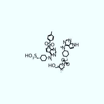 C[C@H]1CN(S(=O)(=O)C[C@H]2CC[C@H](N(C)c3ncnc4[nH]ccc34)CC2)C[C@@H]1CO.Cc1ccc(S(=O)(=O)n2ccc3c(N(C)[C@H]4CC[C@H](CS(=O)(=O)O)CC4)ncnc32)cc1